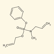 C=CCOP(=O)(Oc1ccccc1)N(C)CC=C